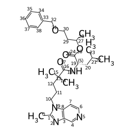 Cc1nc2cnccc2n1CCCC(C)(C)C(=O)N[C@@H](CC(C)C)C(=O)OC(C)CCOCc1ccccc1